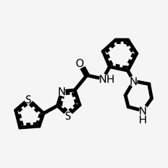 O=C(Nc1ccccc1N1CCNCC1)c1csc(-c2cccs2)n1